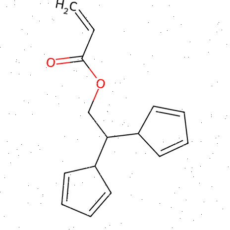 C=CC(=O)OCC(C1C=CC=C1)C1C=CC=C1